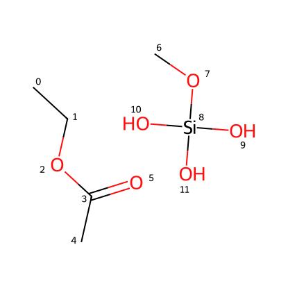 CCOC(C)=O.CO[Si](O)(O)O